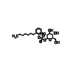 CCCCCCCc1ccccc1OS(=O)(=O)O[C@@H]1O[C@H](CO)[C@@H](O)[C@H](O)[C@H]1O